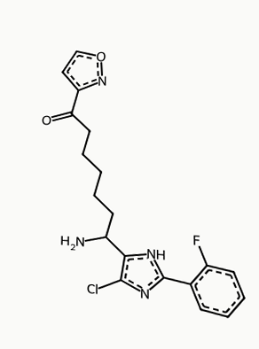 NC(CCCCCC(=O)c1ccon1)c1[nH]c(-c2ccccc2F)nc1Cl